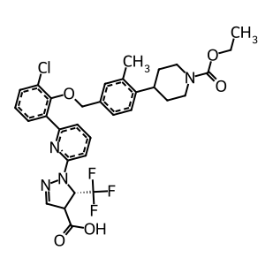 CCOC(=O)N1CCC(c2ccc(COc3c(Cl)cccc3-c3cccc(N4N=CC(C(=O)O)[C@H]4C(F)(F)F)n3)cc2C)CC1